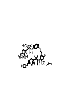 O=C(Nc1cc(CCCc2cc(NC(=O)c3ccc(-n4ccnc4)nn3)c(C(=O)O)cc2F)ccc1C(=O)O)C1=NN2NNN=C2C=C1